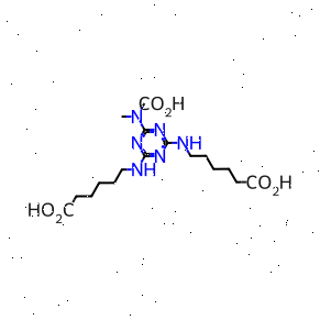 CN(C(=O)O)c1nc(NCCCCCC(=O)O)nc(NCCCCCC(=O)O)n1